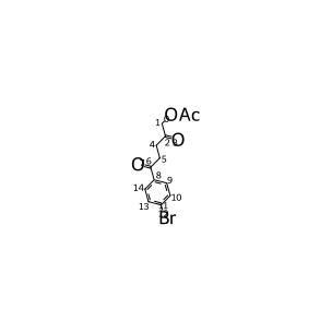 CC(=O)OCC(=O)CCC(=O)c1ccc(Br)cc1